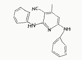 Cc1cc(Nc2ccccc2)nc(Nc2ccccc2)c1C#N